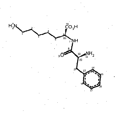 NCCCCC[C@H](NC(=O)[C@@H](N)Cc1ccccc1)C(=O)O